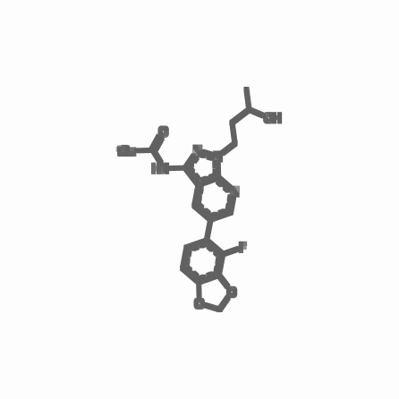 CC(O)CCn1nc(NC(=O)C(C)(C)C)c2cc(-c3ccc4c(c3F)OCO4)cnc21